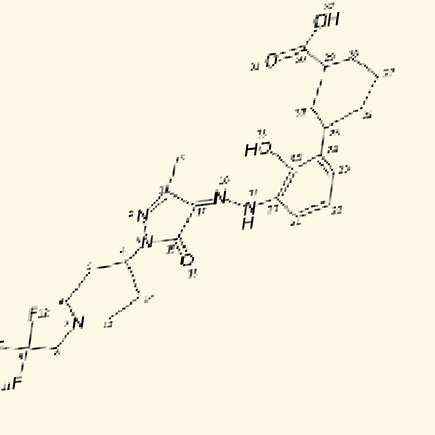 CC1=NN(C2CCN(CC(F)(F)F)CC2)C(=O)C1=NNc1cccc(C2CCCC(C(=O)O)C2)c1O